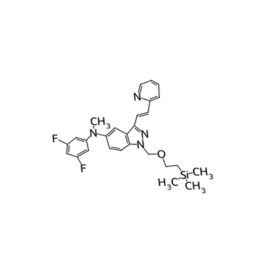 CN(c1cc(F)cc(F)c1)c1ccc2c(c1)c(/C=C/c1ccccn1)nn2COCC[Si](C)(C)C